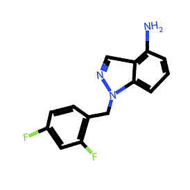 Nc1cccc2c1cnn2Cc1ccc(F)cc1F